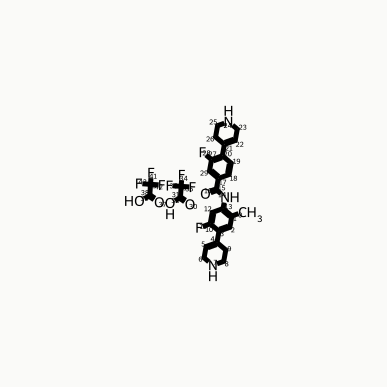 Cc1cc(C2=CCNCC2)c(F)cc1NC(=O)c1ccc(C2=CCNCC2)c(F)c1.O=C(O)C(F)(F)F.O=C(O)C(F)(F)F